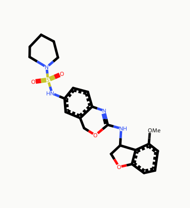 COc1cccc2c1C(NC1=Nc3ccc(NS(=O)(=O)N4CCCCC4)cc3CO1)CO2